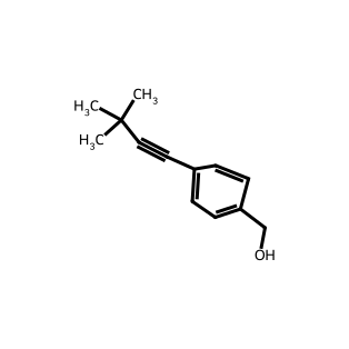 CC(C)(C)C#Cc1ccc(CO)cc1